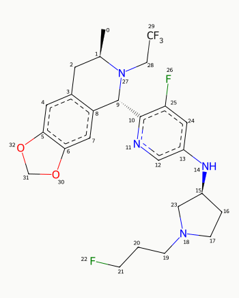 C[C@@H]1Cc2cc3c(cc2[C@@H](c2ncc(N[C@H]4CCN(CCCF)C4)cc2F)N1CC(F)(F)F)OCO3